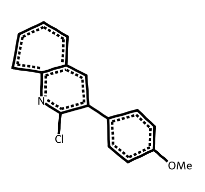 COc1ccc(-c2cc3ccccc3nc2Cl)cc1